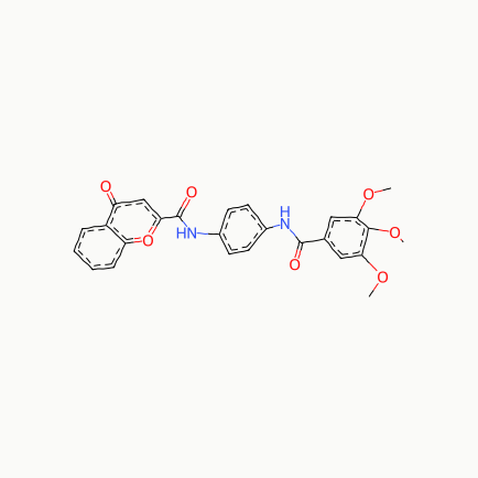 COc1cc(C(=O)Nc2ccc(NC(=O)c3cc(=O)c4ccccc4o3)cc2)cc(OC)c1OC